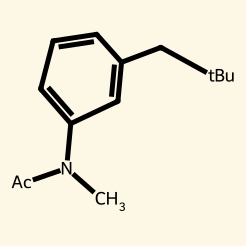 CC(=O)N(C)c1cccc(CC(C)(C)C)c1